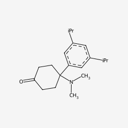 CC(C)c1cc(C(C)C)cc(C2(N(C)C)CCC(=O)CC2)c1